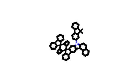 CC1(C)c2ccccc2-c2ccc(-n3c4cc5c(cc4c4c6ccccc6ccc43)-c3ccccc3C53c4ccccc4C4(c5ccccc5-c5ccccc54)c4ccccc43)cc21